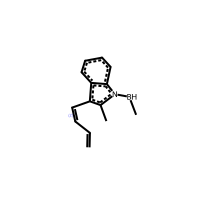 C=C/C=C\c1c(C)n(BC)c2ccccc12